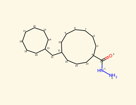 NNC(=O)C1CCCCCCC(CC2CCCCCCC2)CCC1